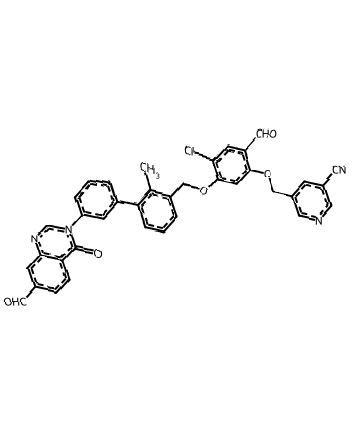 Cc1c(COc2cc(OCc3cncc(C#N)c3)c(C=O)cc2Cl)cccc1-c1cccc(-n2cnc3cc(C=O)ccc3c2=O)c1